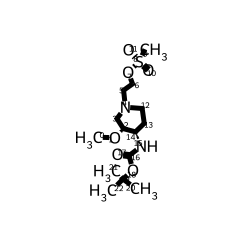 CO[C@H]1CN(CCOS(C)(=O)=O)CC[C@@H]1NC(=O)OC(C)(C)C